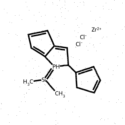 C[Si](C)=[PH]1C2=CC=CC2=CC1C1=CC=CC1.[Cl-].[Cl-].[Zr+2]